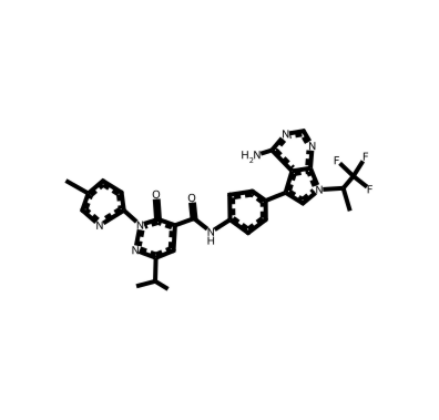 Cc1ccc(-n2nc(C(C)C)cc(C(=O)Nc3ccc(-c4cn(C(C)C(F)(F)F)c5ncnc(N)c45)cc3)c2=O)nc1